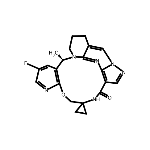 C[C@@H]1c2cc(F)cnc2OCC2(CC2)NC(=O)c2cnn3cc4c(nc23)N1CCC4